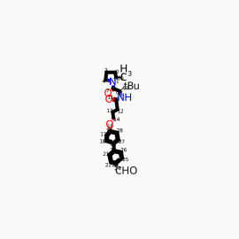 C[C@@H]1CCCN1C(=O)[C@@H](NC(=O)CCCOc1ccc(-c2ccc(C=O)cc2)cc1)C(C)(C)C